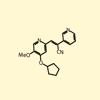 COc1cnc(/C=C(\C#N)c2cccnc2)cc1OC1CCCC1